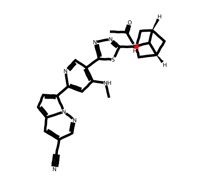 CNc1cc(-c2ccc3cc(C#N)cnn23)ncc1-c1nnc(N2C[C@H]3C[C@@H](C2)C3NC(C)=O)s1